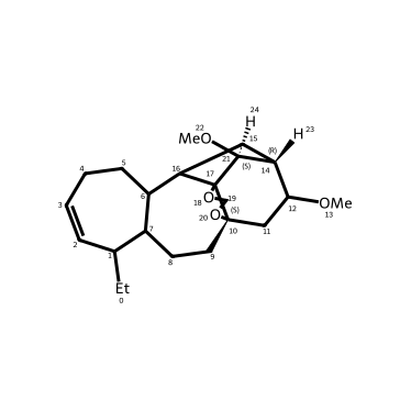 CCC1C=CCCC2C1CC[C@]13CC(OC)[C@H]4CC2C1(OCO3)[C@H]4OC